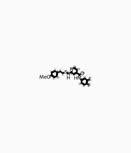 COc1ccc(CCSNc2cc(C(=O)Nc3ccc(F)c(F)c3)ccn2)cc1